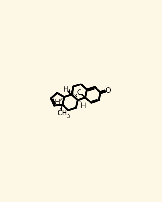 C[C@@]12C=CC[C@H]1[C@@H]1CCC3=CC(=O)C=C[C@]3(C)[C@H]1CC2